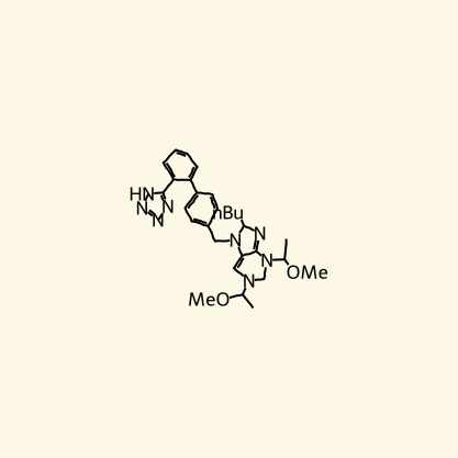 CCCCC1N=C2C(=CN(C(C)OC)CN2C(C)OC)N1Cc1ccc(-c2ccccc2-c2nnn[nH]2)cc1